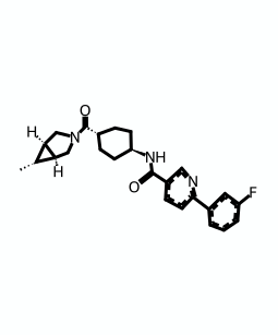 C[C@@H]1[C@H]2CN(C(=O)[C@H]3CC[C@H](NC(=O)c4ccc(-c5cccc(F)c5)nc4)CC3)C[C@@H]12